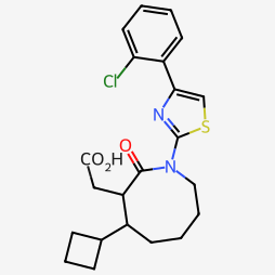 O=C(O)CC1C(=O)N(c2nc(-c3ccccc3Cl)cs2)CCCCC1C1CCC1